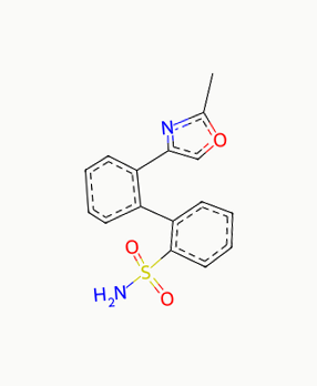 Cc1nc(-c2ccccc2-c2ccccc2S(N)(=O)=O)co1